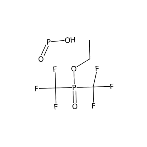 CCOP(=O)(C(F)(F)F)C(F)(F)F.O=PO